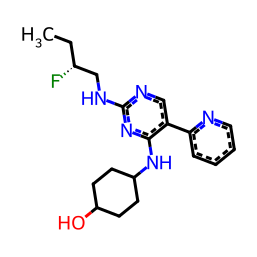 CC[C@@H](F)CNc1ncc(-c2ccccn2)c(NC2CCC(O)CC2)n1